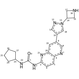 O=C(Nc1ccc2ncc(-c3cnn(C4CNC4)c3)cc2n1)NC1CCCC1